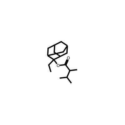 CCC1(OC(=O)C(C)C(C)C)C2CC3CC(C2)CC1C3